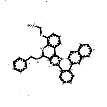 O=C(O)COc1cccc2c1OC(SCc1ccccc1)c1sc(-c3ccccc3-c3ccc4ccccc4c3)nc1-2